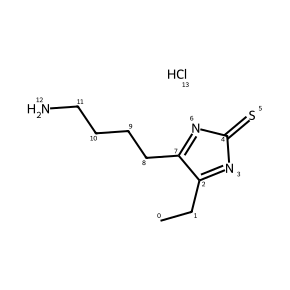 CCC1=NC(=S)N=C1CCCCN.Cl